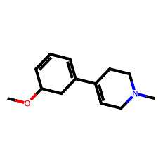 COC1C=CC=C(C2=CCN(C)CC2)C1